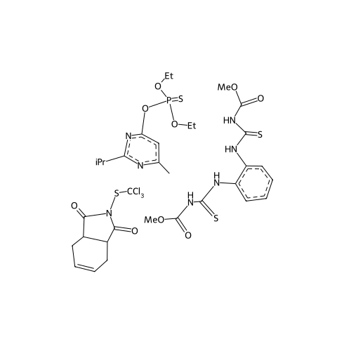 CCOP(=S)(OCC)Oc1cc(C)nc(C(C)C)n1.COC(=O)NC(=S)Nc1ccccc1NC(=S)NC(=O)OC.O=C1C2CC=CCC2C(=O)N1SC(Cl)(Cl)Cl